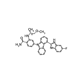 COC[C@H](C)Nc1cc(-n2c3ccccc3c3c(-c4nc5ccc(F)cc5[nH]4)cccc32)ccc1C(N)=O